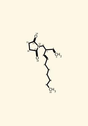 C=CC(/C=C/CCCCCC)CN1C(=O)CCC1=O